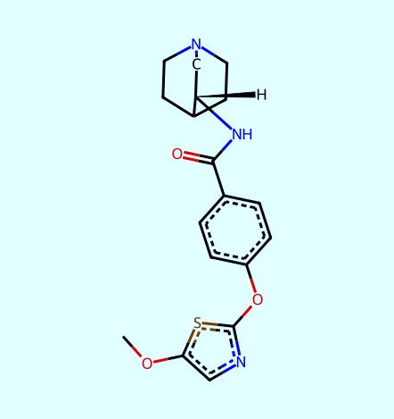 COc1cnc(Oc2ccc(C(=O)N[C@H]3CN4CCC3CC4)cc2)s1